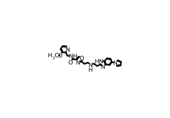 COc1cccnc1CNC(=O)c1coc(CCNCCc2nc3cc(-n4cccc4)ccc3[nH]2)n1